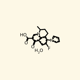 CC1CCc2c(-n3cccc3)c(F)cc3c(=O)c(C(=O)O)cn1c23.O